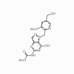 COC(=O)Nc1nc(O)c2c(cnn2Cc2ncc(CO)cc2OC)n1